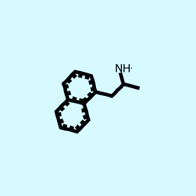 CC([NH])Cc1cccc2ccccc12